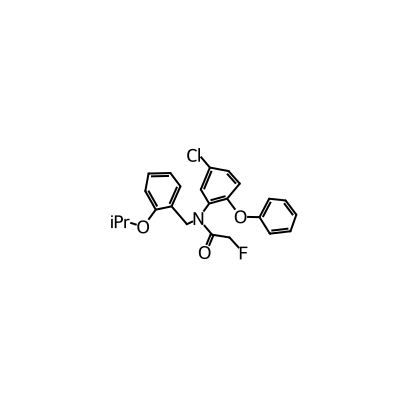 CC(C)Oc1ccccc1CN(C(=O)CF)c1cc(Cl)ccc1Oc1ccccc1